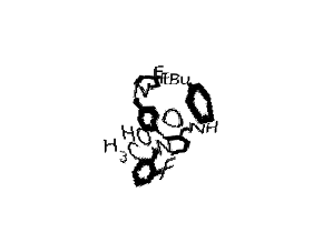 Cc1cccc(F)c1[C@H](O)N1CCC[C@H](C(=O)Nc2cccc(C(C)(C)C)c2)[C@@H]1c1ccc(CN2CCC(F)(F)C2)cc1